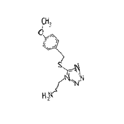 COc1ccc(CSc2nnnn2CCN)cc1